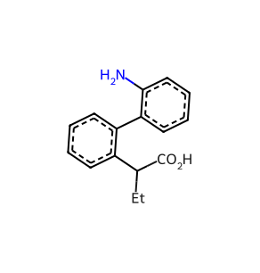 CCC(C(=O)O)c1ccccc1-c1ccccc1N